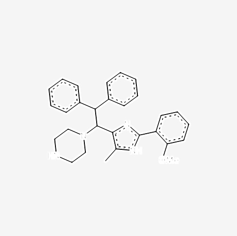 COc1ccccc1-c1nc(C(C(c2ccccc2)c2ccccc2)N2CCNCC2)c(C)[nH]1